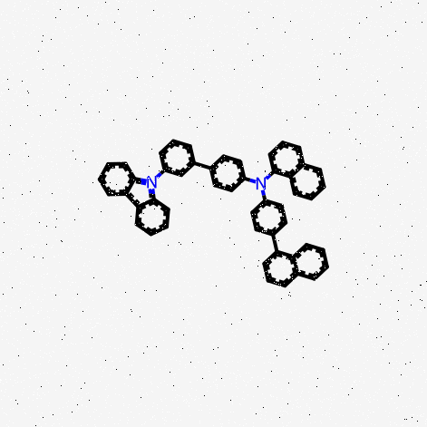 c1cc(-c2ccc(N(c3ccc(-c4cccc5ccccc45)cc3)c3cccc4ccccc34)cc2)cc(-n2c3ccccc3c3ccccc32)c1